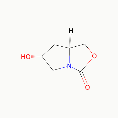 O=C1OC[C@@H]2C[C@@H](O)CN12